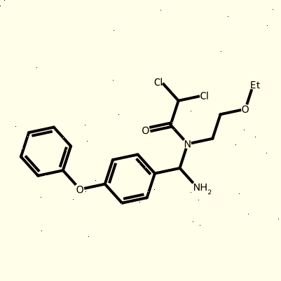 CCOCCN(C(=O)C(Cl)Cl)C(N)c1ccc(Oc2ccccc2)cc1